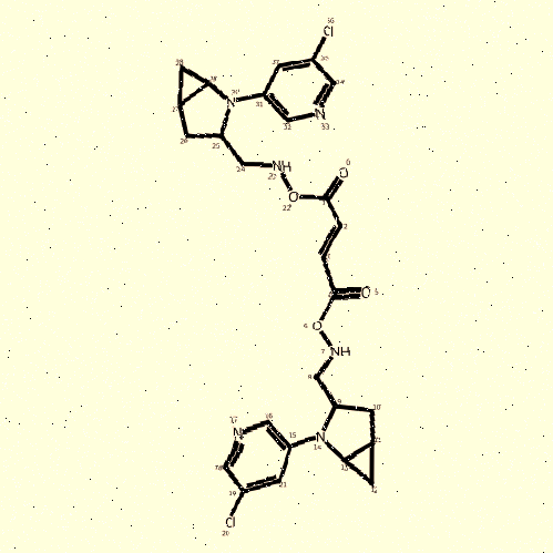 O=C(/C=C/C(=O)ONCC1CC2CC2N1c1cncc(Cl)c1)ONCC1CC2CC2N1c1cncc(Cl)c1